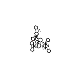 CC1(C)c2ccccc2-c2cc3c4ccccc4n(-c4cccc5c4oc4c(-n6c7ccccc7c7ccccc76)ccc(-c6nc(-c7ccccc7)nc(-c7ccccc7)n6)c45)c3cc21